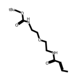 C/C=C/C(=O)NCCOCCNC(=O)OC(C)(C)C